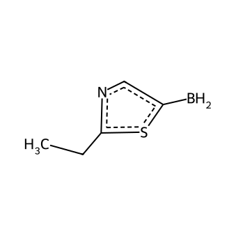 Bc1cnc(CC)s1